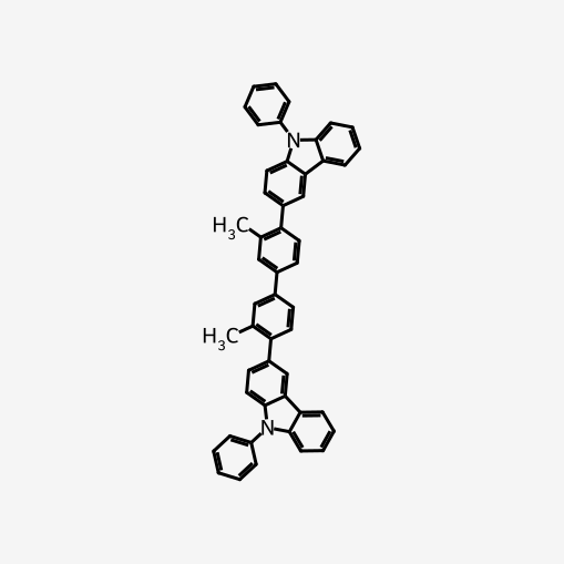 Cc1cc(-c2ccc(-c3ccc4c(c3)c3ccccc3n4-c3ccccc3)c(C)c2)ccc1-c1ccc2c(c1)c1ccccc1n2-c1ccccc1